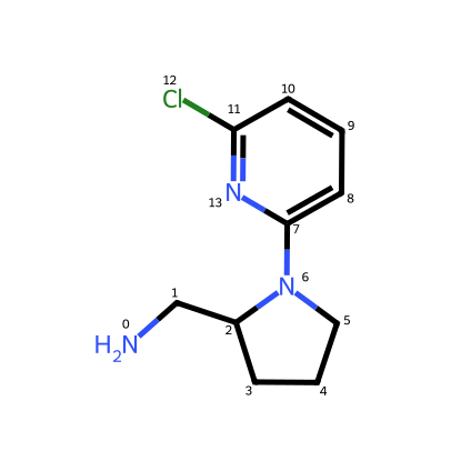 NCC1CCCN1c1cccc(Cl)n1